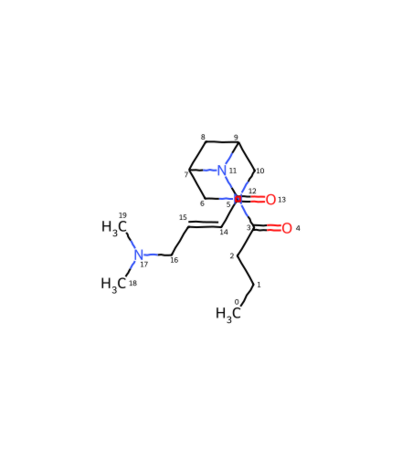 CCCC(=O)N1CC2CC(C1)N2C(=O)/C=C/CN(C)C